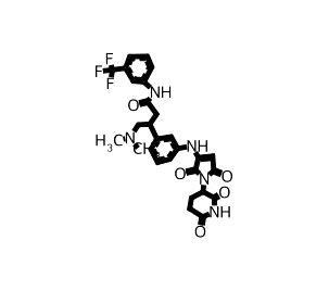 CN(C)CC(CC(=O)Nc1cccc(C(F)(F)F)c1)c1cccc(NC2=CC(=O)N(C3CCC(=O)NC3=O)C2=O)c1